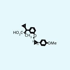 COc1ccc([C@H]2C[C@@H]2COc2cccc(C(C3CC3)[C@H](C)C(=O)O)c2)cc1